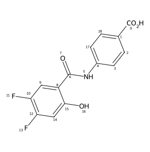 O=C(O)c1ccc(NC(=O)c2cc(F)c(F)cc2O)cc1